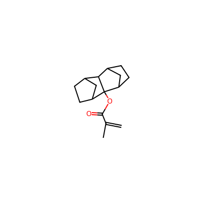 C=C(C)C(=O)OC12C3CCC(C3)C1C1CCC2C1